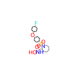 O=C(NO)C1CCCCCN1S(=O)(=O)c1ccc(Oc2ccc(F)cc2)cc1